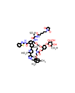 COCCN(CCOC12CC3(C)CC(C)(CC(Cn4ncc(-c5ccc(-c6ccc7cccc(C(=O)Nc8nc9ccccc9s8)c7c6)nc5C(=O)O)c4C)(C3)C1)C2)C(=O)OCc1ccc(O[C@@H]2O[C@H](C(=O)O)[C@@H](O)[C@H](O)[C@H]2O)cc1OCCOCCNC(=O)[C@H](CS(=O)(=O)O)NC(=O)CCCCCN1C(=O)C=CC1=O